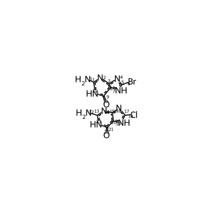 Nc1nc2nc(Br)[nH]c2c(=O)[nH]1.Nc1nc2nc(Cl)[nH]c2c(=O)[nH]1